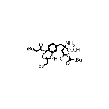 CCC(C)CC(=O)Oc1ccc(CC(N)(C[C@H](C)OC(=O)C(C)(C)C)C(=O)O)cc1OC(=O)CC(C)CC